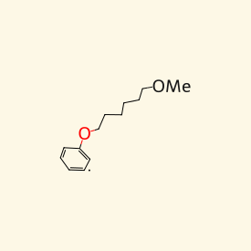 COCCCCCCOc1c[c]ccc1